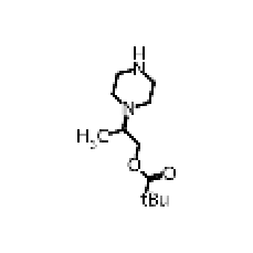 CC(COC(=O)C(C)(C)C)N1CCNCC1